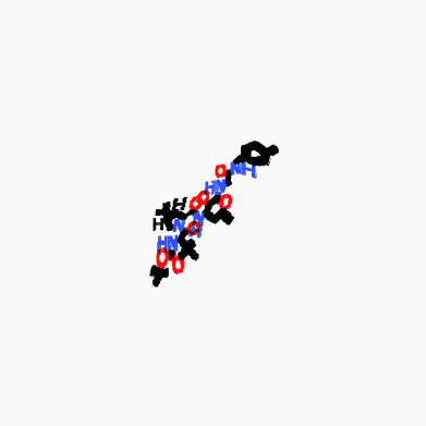 C=CCC(NC(=O)[C@@H]1[C@@H]2[C@H](CN1C(=O)[C@@H](NC(=O)OC(C)(C)C)C(C)(C)C)C2(C)C)C(=O)C(=O)NCC(=O)NCc1ccc(C)cc1